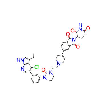 CCc1c[nH]c2ncc(-c3cccc(N4CCCN(CCN5CC=C(c6ccc7c(c6)C(=O)N(C6CCC(=O)NC6=O)C7=O)CC5)C4=O)c3)c(Cl)c12